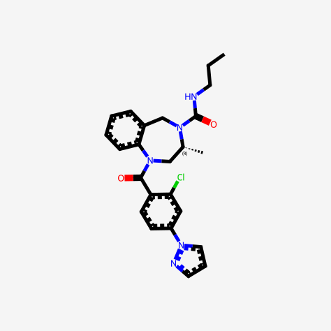 CCCNC(=O)N1Cc2ccccc2N(C(=O)c2ccc(-n3cccn3)cc2Cl)C[C@H]1C